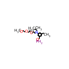 CCc1cc(COP)cc(N(CCOCCOCCOC)CC(C)(C)C)c1